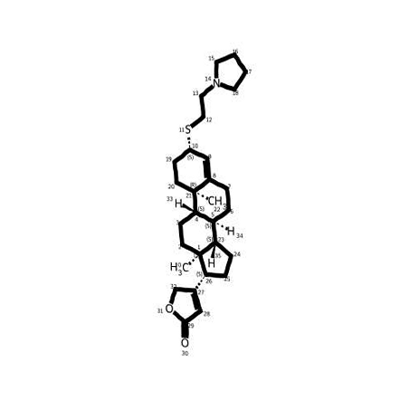 C[C@]12CC[C@H]3[C@@H](CCC4=C[C@@H](SCCN5CCCC5)CC[C@@]43C)[C@@H]1CC[C@@H]2C1=CC(=O)OC1